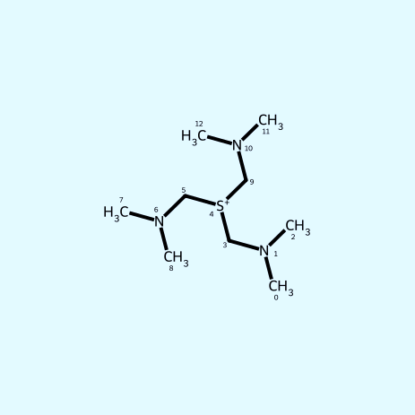 CN(C)C[S+](CN(C)C)CN(C)C